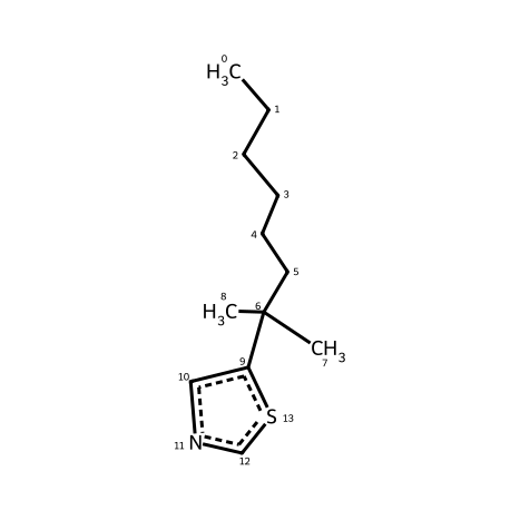 CCCCCCC(C)(C)c1cncs1